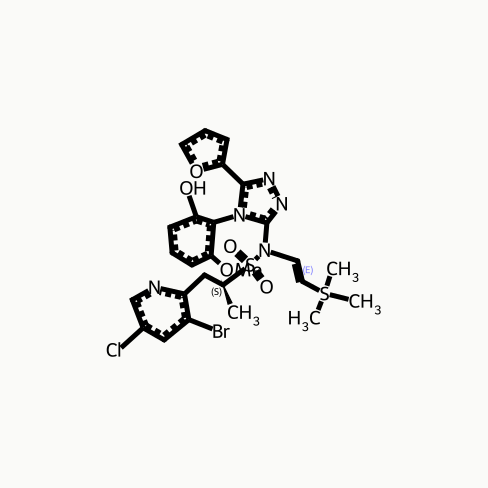 COc1cccc(O)c1-n1c(-c2ccco2)nnc1N(/C=C/S(C)(C)C)S(=O)(=O)[C@@H](C)Cc1ncc(Cl)cc1Br